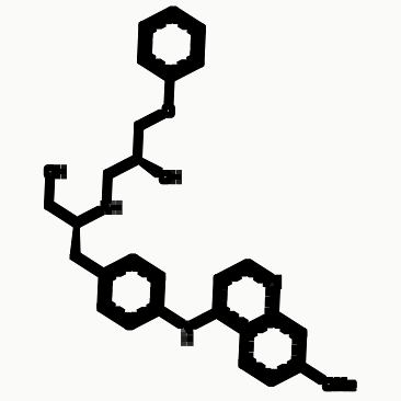 COc1ccc2c(Nc3ccc(C[C@@H](CO)NC[C@H](O)COc4ccccc4)cc3)ccnc2c1